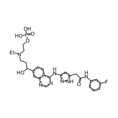 CCN(CCOP(=O)(O)O)CCC(O)c1ccc2c(Nc3cc(CC(=O)Nc4cccc(F)c4)[nH]n3)ncnc2c1